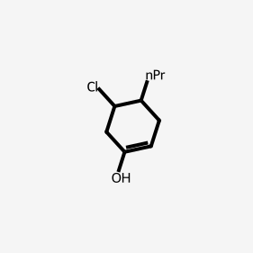 CCCC1CC=C(O)CC1Cl